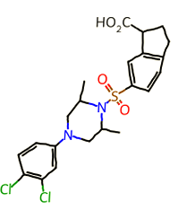 CC1CN(c2ccc(Cl)c(Cl)c2)CC(C)N1S(=O)(=O)c1ccc2c(c1)C(C(=O)O)CC2